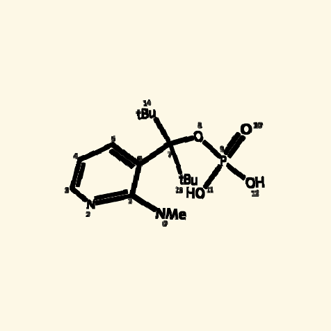 CNc1ncccc1C(OP(=O)(O)O)(C(C)(C)C)C(C)(C)C